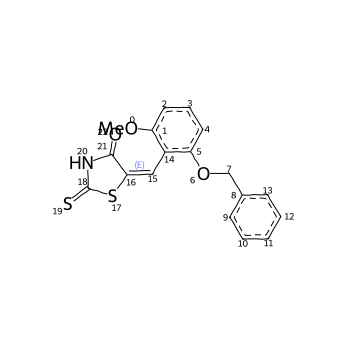 COc1cccc(OCc2ccccc2)c1/C=C1/SC(=S)NC1=O